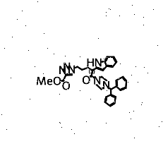 COC(=O)c1cn(CCC[C@H](C(=O)N2CCN(C(c3ccccc3)c3ccccc3)CC2)c2cc3ccccc3[nH]2)nn1